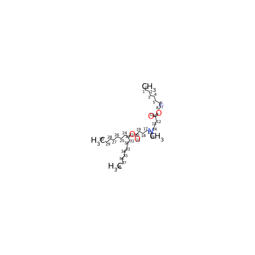 CCCCCC/C=C\COC(=O)CCCN(C)CCCC(=O)OC(CCCCCCC)CCCCCCCC